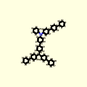 c1ccc(-c2ccc(-c3ccc(N(c4ccccc4)c4ccc(-c5ccc(C(c6ccc(-c7ccccc7)cc6)c6ccc(-c7ccccc7)cc6)cc5)cc4)cc3)cc2)cc1